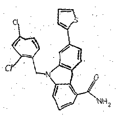 NC(=O)c1cccc2c1c1[c]cc(-c3cccs3)cc1n2Cc1ccc(Cl)cc1Cl